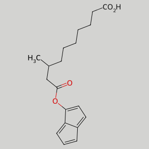 CC(CCCCCCC(=O)O)CC(=O)OC1=CC=C2C=CC=C21